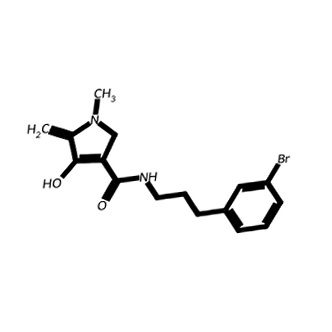 C=C1C(O)=C(C(=O)NCCCc2cccc(Br)c2)CN1C